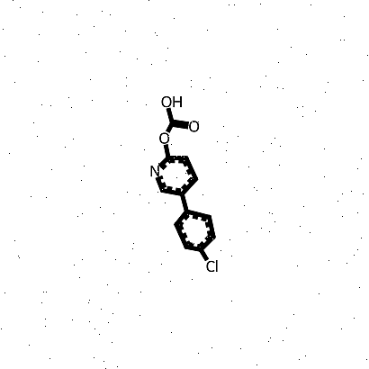 O=C(O)Oc1ccc(-c2ccc(Cl)cc2)cn1